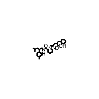 Cc1ccc(C(CNC(=O)c2cccc3nc(CC(Cc4ccccc4)C(=O)O)cn23)CC(C)C)cc1